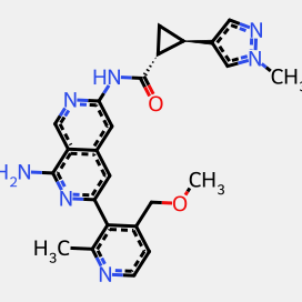 COCc1ccnc(C)c1-c1cc2cc(NC(=O)[C@@H]3C[C@H]3c3cnn(C)c3)ncc2c(N)n1